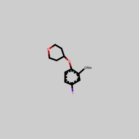 COc1cc(I)ccc1OC1CCOCC1